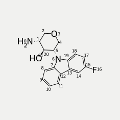 N[C@@H]1COC[C@H](n2c3ccccc3c3cc(F)ccc32)[C@H]1O